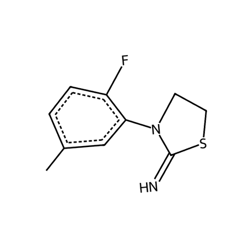 Cc1ccc(F)c(N2CCSC2=N)c1